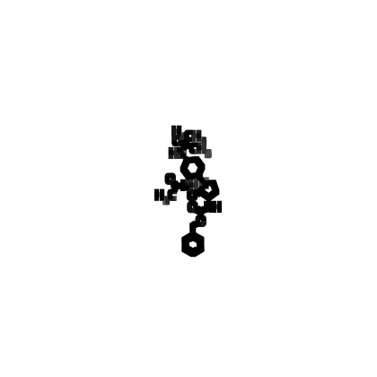 CC(=O)N[C@@H]1C[C@H](NC(C)(C)C)CCC1N1CC[C@H](NC(=O)OCc2ccccc2)C1=O